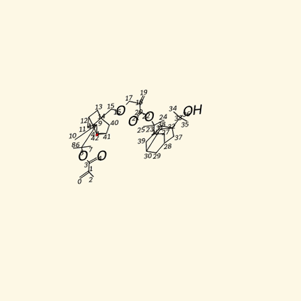 C=C(C)C(=O)OC(C)(C)C1(C)C=C2CC3(COCC(=C)C(=O)OC(C)(C)C45CC6CC(CC(C(C)(C)O)(C6)C4)C5)CC(CC23)C1